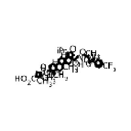 CC(C)C1=C2[C@H]3CC[C@@H]4[C@@]5(C)CC[C@H](OC(=O)[C@H]6C[C@@H](C(=O)O)C6(C)C)C(C)(C)[C@@H]5CC[C@@]4(C)[C@]3(C)CC[C@@]2([C@@H](O)CNC(=O)C(C)(C)NC(=O)c2ccc(C(F)(F)F)cc2)CC1=O